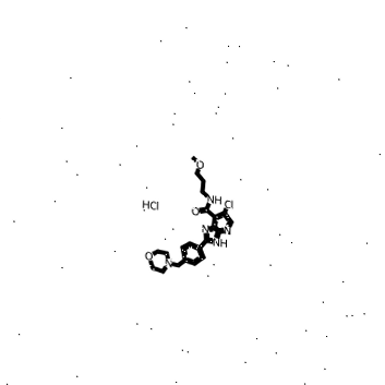 COCCCNC(=O)c1c(Cl)cnc2[nH]c(-c3ccc(CN4CCOCC4)cc3)nc12.Cl